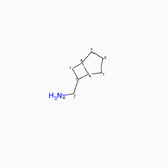 NCC1CC2CCCC12